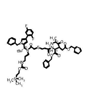 C[C@H](N)C(=O)C(CC(=O)OCc1ccccc1)[C@H](NC(=O)CCSCC(=O)N(CCCNC(=O)OCC[Si](C)(C)C)[C@@H](c1cc(-c2cc(F)ccc2F)cn1Cc1ccccc1)C(C)(C)C)C(=O)OCc1ccccc1